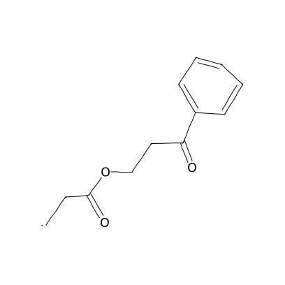 [CH2]CC(=O)OCCC(=O)c1ccccc1